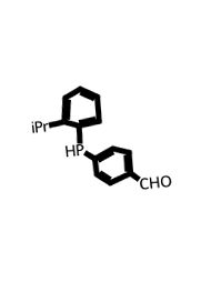 CC(C)c1ccccc1Pc1ccc(C=O)cc1